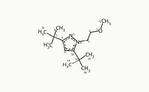 COCCn1nc(C(C)(C)C)cc1C(C)(C)C